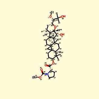 CCO[C@@H]([C@H]1C[C@@H](C)[C@H]2[C@H](O1)[C@H](O)[C@@]1(C)[C@@H]3CC[C@H]4C(C)(C)[C@@H](OC(=O)[C@@H]5CCCN5C(=O)OC(C)(C)C)CCC45C[C@@]35CC[C@]21C)C(C)(C)O